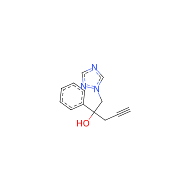 C#CCC(O)(Cn1cncn1)c1ccccc1